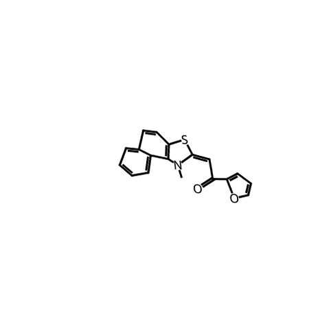 CN1C(=CC(=O)c2ccco2)Sc2ccc3ccccc3c21